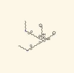 CCCCCC/C=C\COC(=O)CCCCCOCC(OC(=O)NCCCCN1CCCC1)C(COCCCCCC(=O)OC/C=C\CCCCCC)OC(=O)NCCCCN1CCCC1